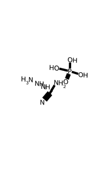 N.N.N.N#CN.O=P(O)(O)O